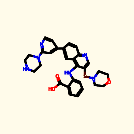 O=C(O)c1ccccc1Nc1c(SN2CCOCC2)cnc2ccc(-c3ccnc(N4CCNCC4)c3)cc12